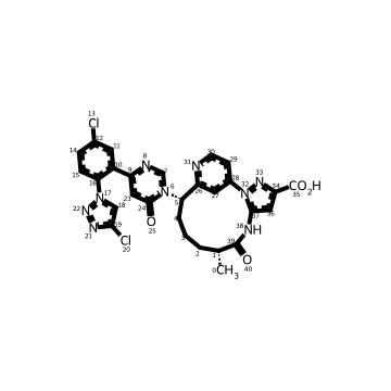 C[C@@H]1CCC[C@H](n2cnc(-c3cc(Cl)ccc3-n3cc(Cl)nn3)cc2=O)c2cc(ccn2)-n2nc(C(=O)O)cc2NC1=O